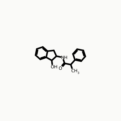 CC(C(=O)NC1Cc2ccccc2C1O)c1ccccc1